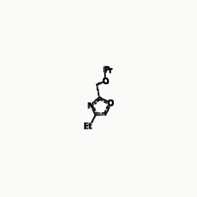 CCc1coc(COC(C)C)n1